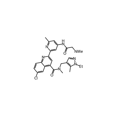 CCn1ncc(CN(C)C(=O)c2cc(-c3cc(NC(=O)CNC)cc(C)n3)nc3ccc(Cl)cc23)c1C